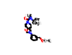 CC(C)[C@@H](C(=O)O)N(C)C(=O)N1CCC2(CC1)CN(c1cccc(COC=O)c1)CO2